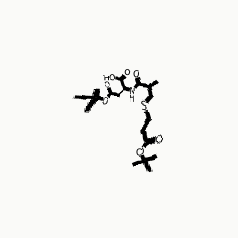 CC(CSCCC(=O)OC(C)(C)C)C(=O)N[C@@H](CC(=O)OC(C)(C)C)C(=O)O